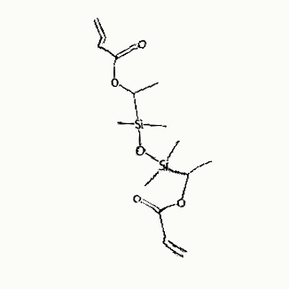 C=CC(=O)OC(C)[Si](C)(C)O[Si](C)(C)C(C)OC(=O)C=C